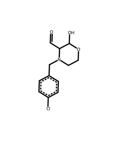 O=CC1C(O)OCCN1Cc1ccc(Cl)cc1